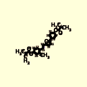 C=C(C)C(=O)Oc1ccc(-c2ccc(/C=C/c3ccc(OC(=O)C(=C)C)cc3C)o2)cc1